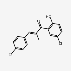 C/C(=C\c1ccc(Cl)cc1)C(=O)c1cc(Cl)ccc1O